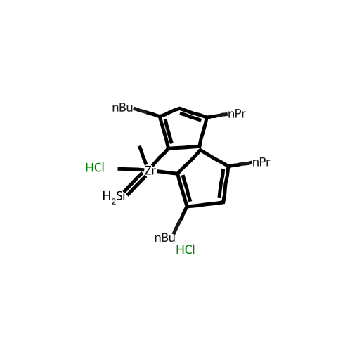 CCCCC1=[C]([Zr]([CH3])([CH3])(=[SiH2])[C]2=C(CCCC)C=C(CCC)C2)CC(CCC)=C1.Cl.Cl